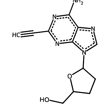 C#Cc1nc(N)c2ncn(C3CCC(CO)O3)c2n1